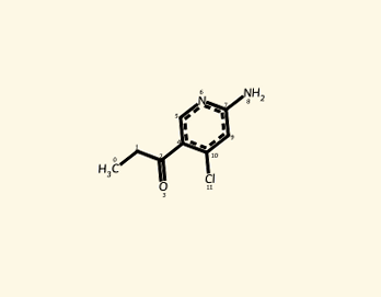 CCC(=O)c1cnc(N)cc1Cl